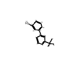 CC(C)(C)c1cccc(-c2cccc(S)c2)c1